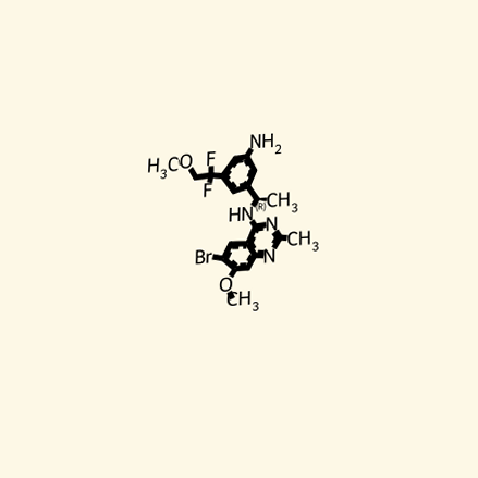 COCC(F)(F)c1cc(N)cc([C@@H](C)Nc2nc(C)nc3cc(OC)c(Br)cc23)c1